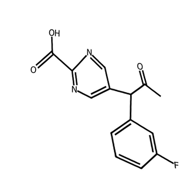 CC(=O)C(c1cnc(C(=O)O)nc1)c1cccc(F)c1